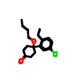 CCCCOC1(c2cc(Cl)ccc2CC)CCC(=O)CC1